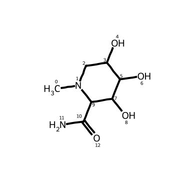 CN1CC(O)C(O)C(O)C1C(N)=O